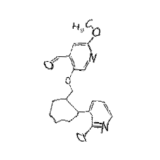 COc1cc(C=O)c(OCC2CCCCC2c2cccnc2Cl)cn1